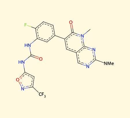 CNc1ncc2cc(-c3ccc(F)c(NC(=O)Nc4cc(C(F)(F)F)no4)c3)c(=O)n(C)c2n1